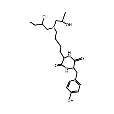 CCC(O)CN(CCCCC1NC(=O)C(Cc2ccc(O)cc2)NC1=O)CC(C)O